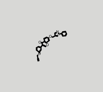 C#CCOc1cccc(-c2coc3cc(OCc4cnn(-c5ccccc5)c4)ccc3c2=O)c1